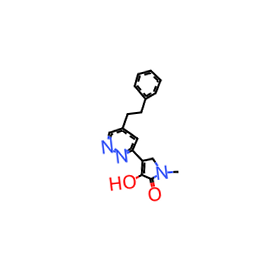 CN1CC(c2cc(CCc3ccccc3)cnn2)=C(O)C1=O